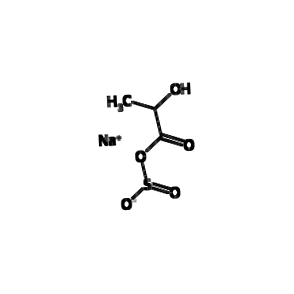 CC(O)C(=O)OS(=O)[O-].[Na+]